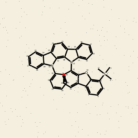 CS(C)(C)c1cccc2c1oc1c(-n3c4ccccc4c4ccc5c6ccccc6n(-c6ccccc6)c5c43)cccc12